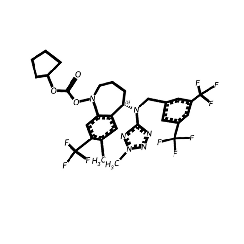 Cc1cc2c(cc1C(F)(F)F)N(OC(=O)OC1CCCC1)CCC[C@@H]2N(Cc1cc(C(F)(F)F)cc(C(F)(F)F)c1)c1nnn(C)n1